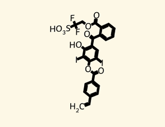 C=Cc1ccc(C(=O)Oc2c(I)cc(C(=O)c3ccccc3C(=O)OCC(F)(F)S(=O)(=O)O)c(O)c2I)cc1